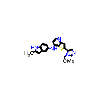 COCn1cncc1-c1cc2nccc(Nc3ccc4[nH]c(C)cc4c3)c2s1